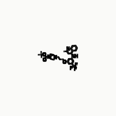 Cc1cc(Nc2cc(OCCCN3CC4CC3CN4C(=O)OC(C)(C)C)cc(C(F)(F)F)c2)c2ccccc2n1